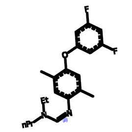 CCCN(/C=N\c1cc(C)c(Oc2cc(F)cc(F)c2)cc1C)CC